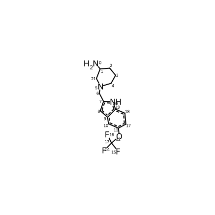 NC1CCCN(Cc2cc3cc(OC(F)(F)F)ccc3[nH]2)C1